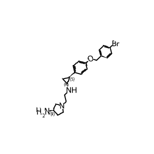 N[C@@H]1CCN(CCN[C@@H]2C[C@H]2c2ccc(OCc3ccc(Br)cc3)cc2)C1